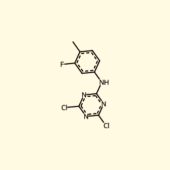 Cc1ccc(Nc2nc(Cl)nc(Cl)n2)cc1F